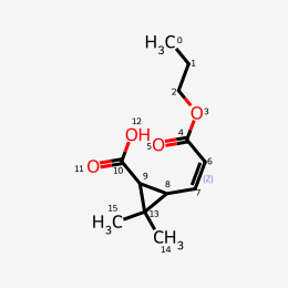 CCCOC(=O)/C=C\C1C(C(=O)O)C1(C)C